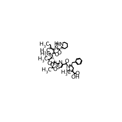 CC[C@H](C)[C@H](NC(=O)[C@H]1CCCCN1)C(=O)N(C)[C@H](C[C@@H](OC(C)=O)c1nc(C(=O)N[C@@H](Cc2ccccc2)C[C@H](C)C(=O)O)cs1)C(C)C